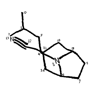 CC(C)CCN1C2CCC1CC(C#N)C2